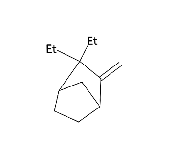 C=C1C2CCC(C2)C1(CC)CC